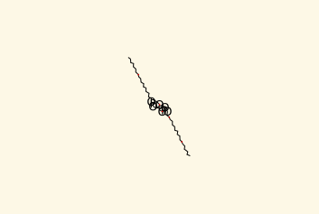 CCCCCCCCCCCCCCCCCCOP1COC2(CO1)COP(OCCCCCCCCCCCCCCCCCC)OC2